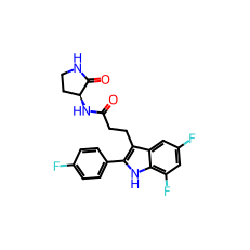 O=C(CCc1c(-c2ccc(F)cc2)[nH]c2c(F)cc(F)cc12)N[C@H]1CCNC1=O